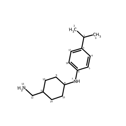 CC(C)c1ccc(NC2CCC(CN)CC2)cc1